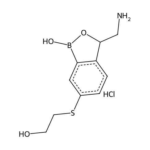 Cl.NCC1OB(O)c2cc(SCCO)ccc21